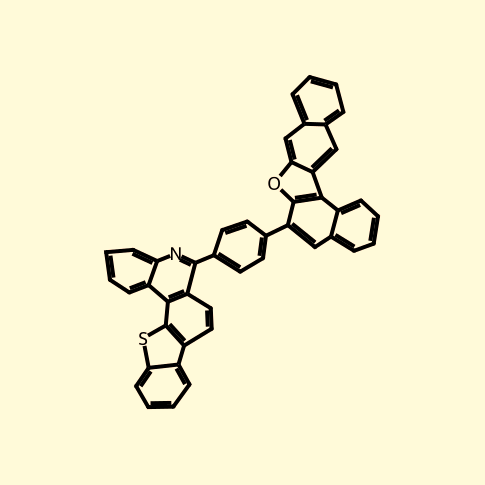 c1ccc2cc3c(cc2c1)oc1c(-c2ccc(-c4nc5ccccc5c5c4ccc4c6ccccc6sc45)cc2)cc2ccccc2c13